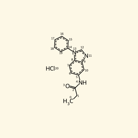 CCC(=O)Nc1ccc2c(c1)ncn2-c1ccccc1.Cl